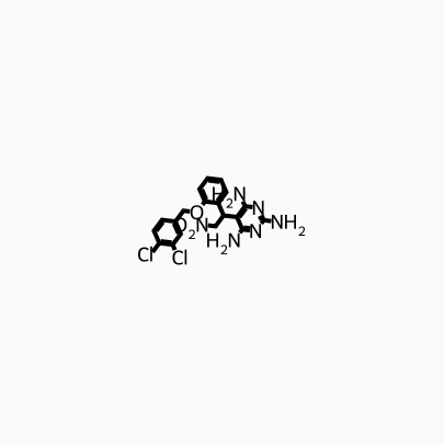 Nc1nc(N)c(C(C[N+](=O)[O-])c2ccccc2OCc2ccc(Cl)c(Cl)c2)c(N)n1